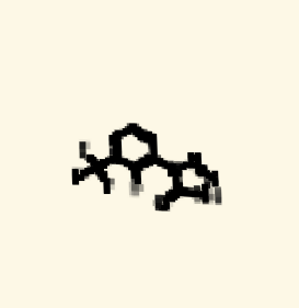 O=c1[nH]nnn1-c1cccc(C(F)(F)F)c1F